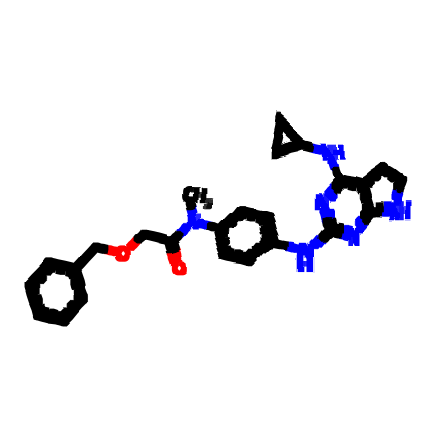 CN(C(=O)COCc1ccccc1)c1ccc(Nc2nc(NC3CC3)c3cc[nH]c3n2)cc1